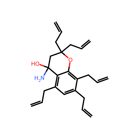 C=CCc1cc(CC=C)c2c(c1CC=C)OC(CC=C)(CC=C)CC2(N)O